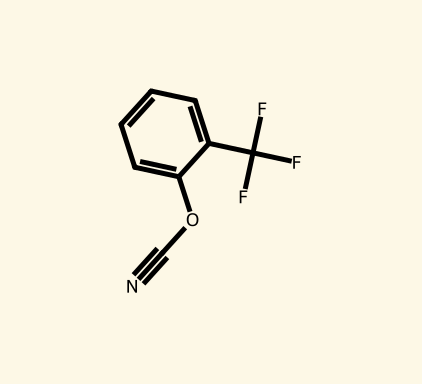 N#COc1ccccc1C(F)(F)F